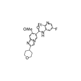 CCc1ncc(F)cc1NC(=O)c1cn2cc(C3CCOCC3)nc2cc1OC